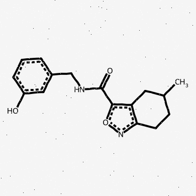 CC1CCc2noc(C(=O)NCc3cccc(O)c3)c2C1